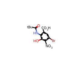 CC(C)(C)C(=O)Nc1c(C(=O)O)cc(Br)c([N+](=O)[O-])c1O